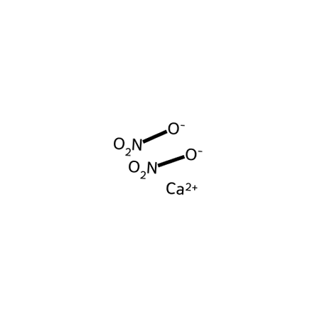 O=[15N+]([O-])[O-].O=[15N+]([O-])[O-].[Ca+2]